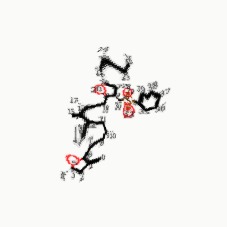 C=C1C[C@H](C)OC1CC[C@@H](C)CC(C)C(=C)[C@H](C)CC1O[C@H](C[C@H](C)CC)[C@H](C)[C@H]1CS(=O)(=O)c1ccccc1